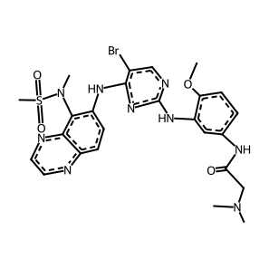 COc1ccc(NC(=O)CN(C)C)cc1Nc1ncc(Br)c(Nc2ccc3nccnc3c2N(C)S(C)(=O)=O)n1